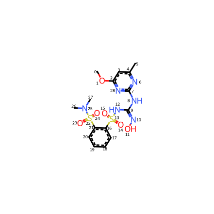 COc1cc(C)nc(NC(=NO)NS(=O)(=O)c2ccccc2S(=O)(=O)N(C)C)n1